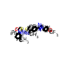 Cc1ccc(C(C)C)c(N2C(=O)CS/C2=N\C(=N\[C@@H](C)Cc2ccc(-c3ncn(-c4ccc(OC(F)(F)F)cc4)n3)cc2)SCCC(F)(F)F)c1